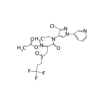 CCN(C(=O)C(C[S+]([O-])CCC(F)(F)F)=NOC(C)=O)c1cn(-c2cccnc2)nc1Cl